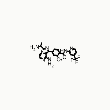 COc1cc(-c2nc(C(C)N)n3ccnc(N)c23)ccc1C(=O)Nc1cc(C(F)(F)F)ccn1